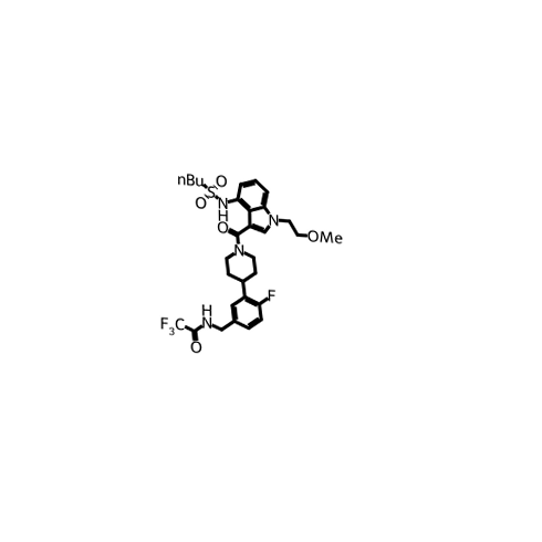 CCCCS(=O)(=O)Nc1cccc2c1c(C(=O)N1CCC(c3cc(CNC(=O)C(F)(F)F)ccc3F)CC1)cn2CCOC